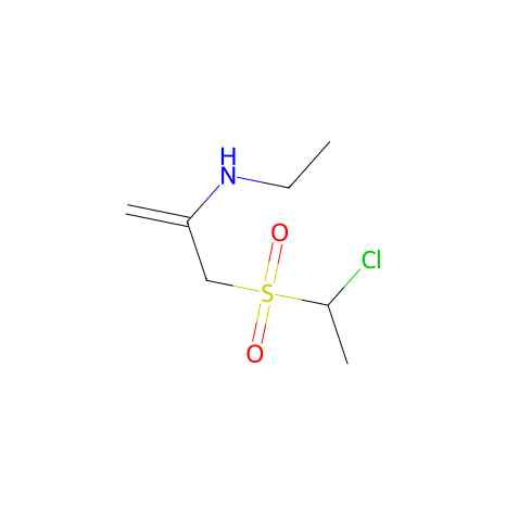 C=C(CS(=O)(=O)C(C)Cl)NCC